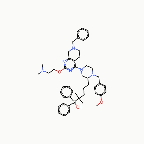 COc1ccc(CN2CCN(c3nc(OCCN(C)C)nc4c3CCN(Cc3ccccc3)C4)CC2CCCC(C)(C)[Si](O)(c2ccccc2)c2ccccc2)cc1